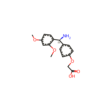 COc1ccc([C@@H](N)c2ccc(OCC(=O)O)cc2)c(OC)c1